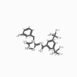 O=C(/N=c1\s[nH]c(=O)n1Cc1cccc(F)c1)c1cc(C(F)(F)F)cc(C(F)(F)F)c1